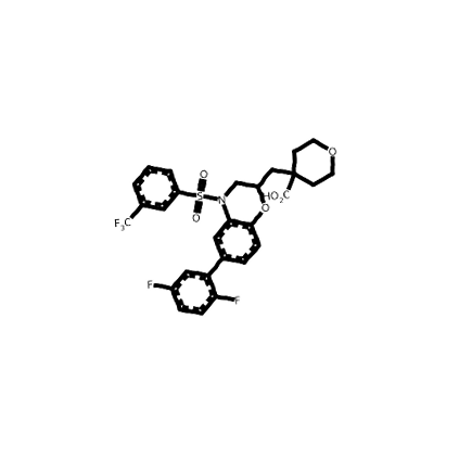 O=C(O)C1(CC2CN(S(=O)(=O)c3cccc(C(F)(F)F)c3)c3cc(-c4cc(F)ccc4F)ccc3O2)CCOCC1